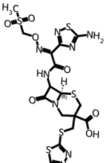 CS(=O)(=O)CON=C(C(=O)NC1C(=O)N2CC(CSc3nncs3)(C(=O)O)CS[C@H]12)c1nsc(N)n1